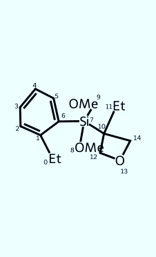 CCc1ccccc1[Si](OC)(OC)C1(CC)COC1